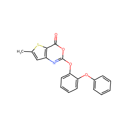 Cc1cc2nc(Oc3ccccc3Oc3ccccc3)oc(=O)c2s1